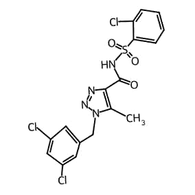 Cc1c(C(=O)NS(=O)(=O)c2ccccc2Cl)nnn1Cc1cc(Cl)cc(Cl)c1